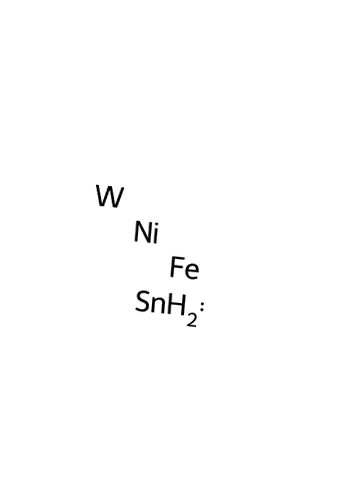 [Fe].[Ni].[SnH2].[W]